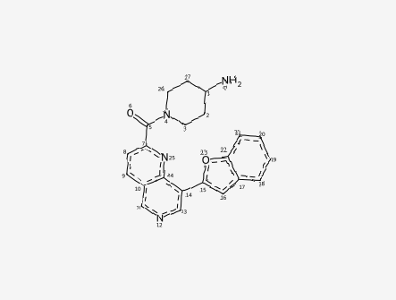 NC1CCN(C(=O)c2ccc3cncc(-c4cc5ccccc5o4)c3n2)CC1